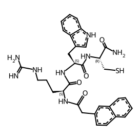 N=C(N)NCCC[C@H](NC(=O)Cc1ccc2ccccc2c1)C(=O)N[C@@H](Cc1c[nH]c2ccccc12)C(=O)N[C@@H](CS)C(N)=O